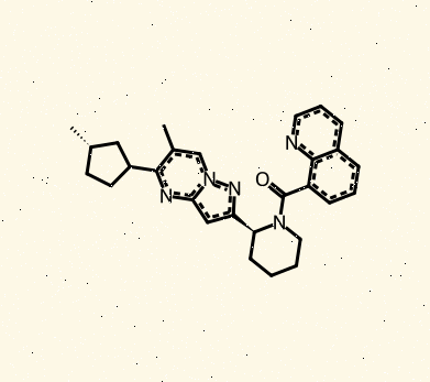 Cc1cn2nc([C@@H]3CCCCN3C(=O)c3cccc4cccnc34)cc2nc1C1CC[C@H](C)C1